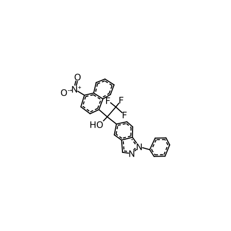 O=[N+]([O-])c1ccc(C(O)(c2ccc3c(cnn3-c3ccccc3)c2)C(F)(F)F)c2ccccc12